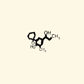 CCC(O)c1cc(C)c(O)c(C2(C)CCCCC2)c1